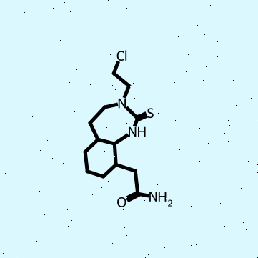 NC(=O)CC1CCCC2CCN(CCCl)C(=S)NC21